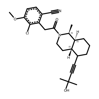 COc1ccc(C#N)c(CC(=O)N2CC[C@H]3C(C#CC(C)(C)O)CCC[C@@H]3[C@@H]2C)c1Cl